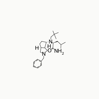 CC(C)C[C@@H](C(N)=O)N(CC(C)(C)C)[C@H]1CC[C@@H]2CN(Cc3ccccc3)C[C@@H]21